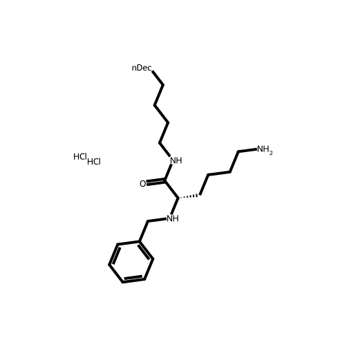 CCCCCCCCCCCCCCNC(=O)[C@H](CCCCN)NCc1ccccc1.Cl.Cl